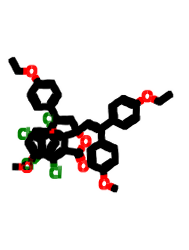 CCOc1ccc(/C(=C/C2(/C=C(\c3ccc(OC)cc3)c3ccc(OCC)cc3)OC(=O)c3c(Cl)c(Cl)c(Cl)c(Cl)c32)c2ccc(OC)cc2)cc1